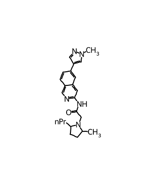 CCCC1CCC(C)N1CC(=O)Nc1cc2cc(-c3cnn(C)c3)ccc2cn1